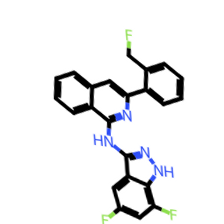 FCc1ccccc1-c1cc2ccccc2c(Nc2n[nH]c3c(F)cc(F)cc23)n1